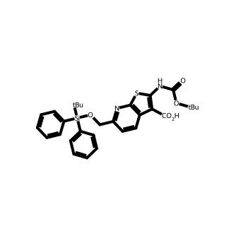 CC(C)(C)OC(=O)Nc1sc2nc(CO[Si](c3ccccc3)(c3ccccc3)C(C)(C)C)ccc2c1C(=O)O